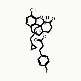 O=C(CCc1ccc(F)cc1)O[C@@]12CCC(=O)[C@@H]3Oc4c(O)ccc5c4C31CCN(CC1CC1)C2C5